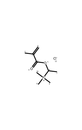 C=C(C)C(=O)OC(C)[P+](C)(C)C.[Cl-]